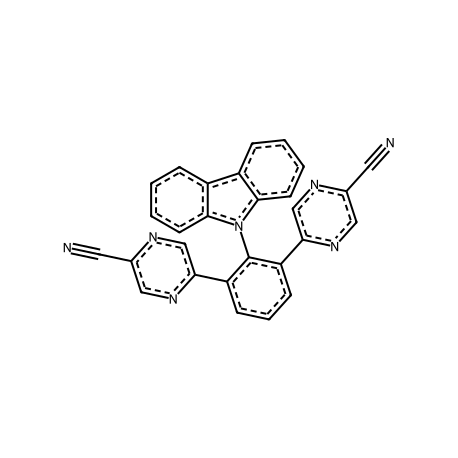 N#Cc1cnc(-c2cccc(-c3cnc(C#N)cn3)c2-n2c3ccccc3c3ccccc32)cn1